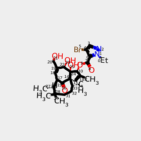 CCn1ncc(Br)c1C(=O)O[C@H]1C(C)=C[C@]23C(=O)[C@@H](C=C(CO)[C@@H](O)[C@]12O)[C@@H](C)C(C)(C)CC[C@H]3C